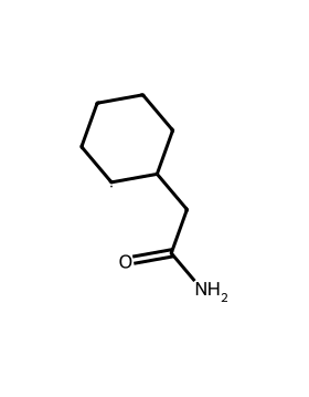 NC(=O)CC1[CH]CCCC1